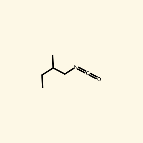 CCC(C)CN=C=O